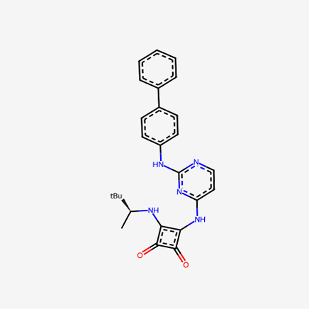 C[C@H](Nc1c(Nc2ccnc(Nc3ccc(-c4ccccc4)cc3)n2)c(=O)c1=O)C(C)(C)C